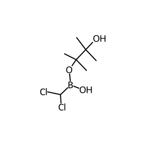 CC(C)(O)C(C)(C)OB(O)C(Cl)Cl